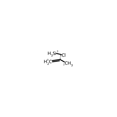 C=CC.[SiH3]Cl